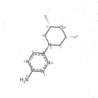 C[C@@H]1CN(c2cnc(N)nn2)C[C@H](C)O1